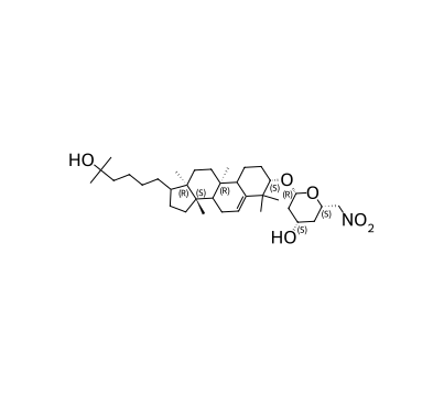 CC(C)(O)CCCCC1CC[C@@]2(C)C3CC=C4C(CC[C@H](O[C@H]5C[C@@H](O)C[C@@H](C[N+](=O)[O-])O5)C4(C)C)[C@]3(C)CC[C@]12C